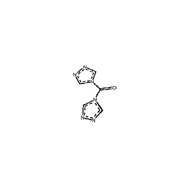 O=C(n1cnnc1)n1cnnc1